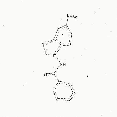 CC(=O)Nc1ccc2c(c1)ncn2NC(=O)c1ccccc1